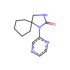 O=C1NCC2(CCCCC2)N1c1cnccn1